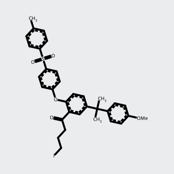 COc1ccc(C(C)(C)c2ccc(Oc3ccc(S(=O)(=O)c4ccc(C)cc4)cc3)c(C(=O)CCCI)c2)cc1